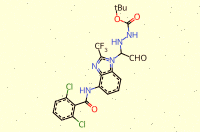 CC(C)(C)OC(=O)NNC(C=O)n1c(C(F)(F)F)nc2c(NC(=O)c3c(Cl)cccc3Cl)cccc21